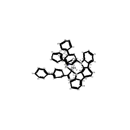 C/C(=N\C(N)(C(=N)c1ccc(C2=CCCC=C2)cc1)n1c2ccccc2c2ccc3c4ccccc4n(-c4cccc(-c5ccccc5)c4)c3c21)c1ccccc1